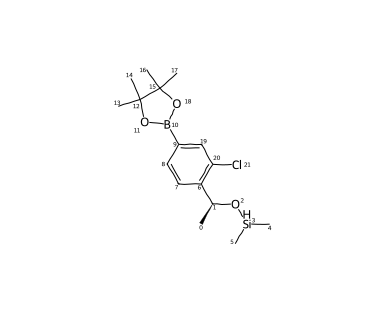 C[C@H](O[SiH](C)C)c1ccc(B2OC(C)(C)C(C)(C)O2)cc1Cl